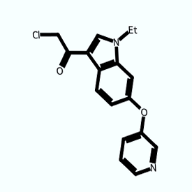 CCn1cc(C(=O)CCl)c2ccc(Oc3cccnc3)cc21